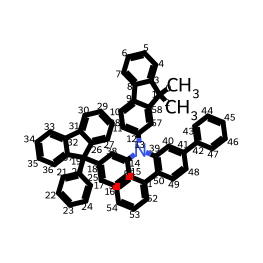 CC1(C)c2ccccc2-c2ccc(N(c3cccc(C4(c5ccccc5)c5ccccc5-c5ccccc54)c3)c3cc(-c4ccccc4)ccc3-c3ccccc3)cc21